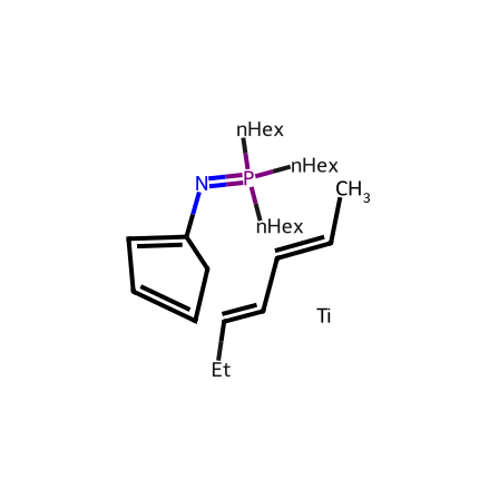 CC=CC=CCC.CCCCCCP(CCCCCC)(CCCCCC)=NC1=CC=CC1.[Ti]